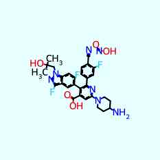 CC(C)(O)Cn1nc(F)c2cc(-c3c(C(=O)O)cc(N4CCC(N)CC4)nc3-c3ccc(C#N)c(F)c3)c(F)cc21.O=NO